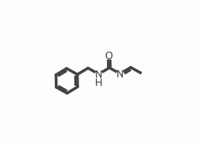 CC=NC(=O)NCc1ccccc1